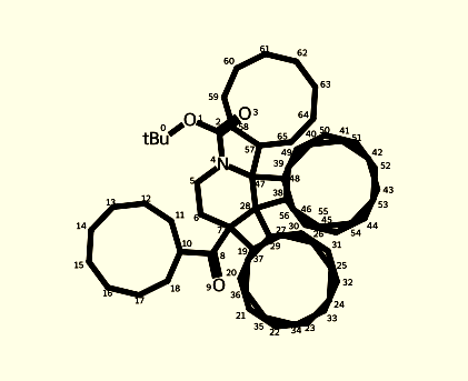 CC(C)(C)OC(=O)N1CCC(C(=O)C2CCCCCCCC2)(C2CCCCCCCC2)C(C2CCCCCCCC2)(C2CCCCCCCC2)C1(C1CCCCCCCC1)C1CCCCCCCC1